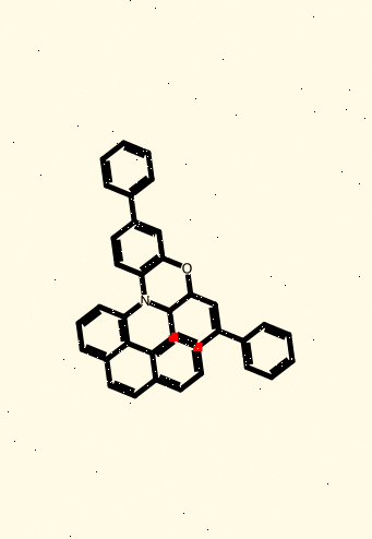 C1=CC2C(C=C1c1ccccc1)Oc1cc(-c3ccccc3)ccc1N2c1cccc2ccc3ccccc3c12